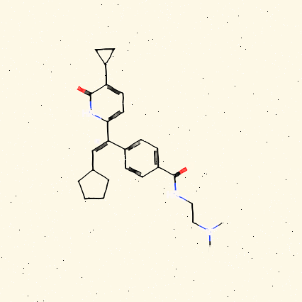 CCN(CC)CCNC(=O)c1ccc(/C(=C\C2CCCC2)c2ccc(C3CC3)c(=O)[nH]2)cc1